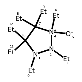 CCN1N(CC)[N+]([O-])(CC)C(CC)(CC)C1(CC)CC